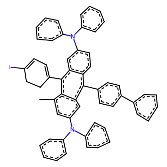 Cc1cc(N(c2ccccc2)c2ccccc2)cc2c(-c3ccc(-c4ccccc4)cc3)c3ccc(N(c4ccccc4)c4ccccc4)cc3c(C3=CC=C(I)CC3)c12